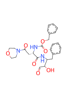 O=CC(O)C(Cc1ccccc1)NC(=O)[C@H](CC(=O)N1CCOCC1)NC(=O)OCc1ccccc1